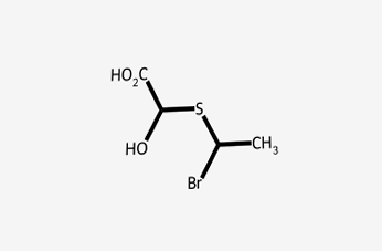 CC(Br)SC(O)C(=O)O